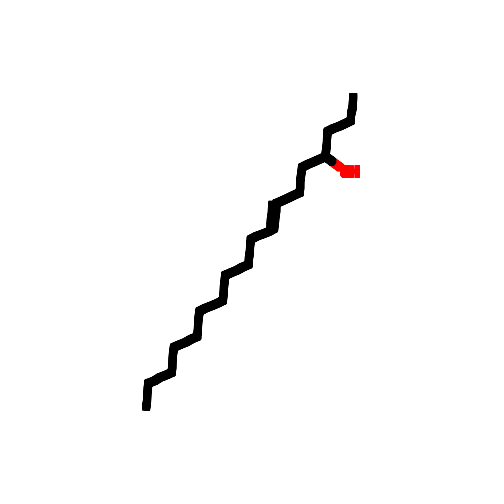 CCCCCCCCCCC=CCCC(O)CCC